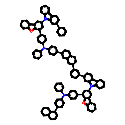 c1ccc(-c2ccc3c4ccccc4n(-c4cc(-c5ccc(N(c6ccccc6)c6ccc(-c7ccc8ccc(-c9cccc(-c%10ccc%11c%12ccccc%12n(-c%12cc(-c%13ccc(N(c%14ccccc%14)c%14ccc(-c%15cccc%16ccccc%15%16)cc%14)cc%13)c%13oc%14ccccc%14c%13c%12)c%11c%10)c9)cc8c7)cc6)cc5)c5oc6ccccc6c5c4)c3c2)cc1